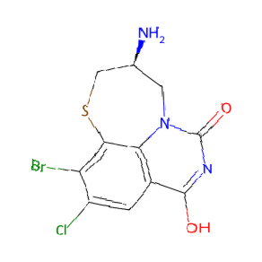 N[C@@H]1CSc2c(Br)c(Cl)cc3c(O)nc(=O)n(c23)C1